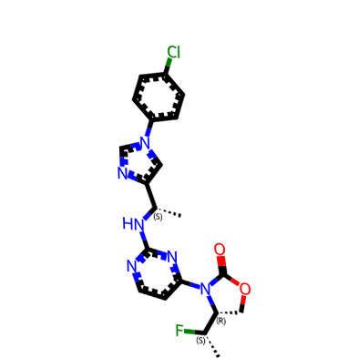 C[C@H](Nc1nccc(N2C(=O)OC[C@@H]2[C@H](C)F)n1)c1cn(-c2ccc(Cl)cc2)cn1